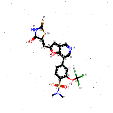 CN(C)S(=O)(=O)c1ccc(-c2cncc3cc(/C=C4\SC(=S)NC4=O)oc23)cc1OC(F)(F)F